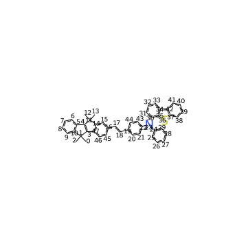 CC1(C)C2=C(c3ccccc31)C(C)(C)c1cc(/C=C/c3ccc(N(c4ccccc4)c4cccc5c4sc4ccccc45)cc3)ccc12